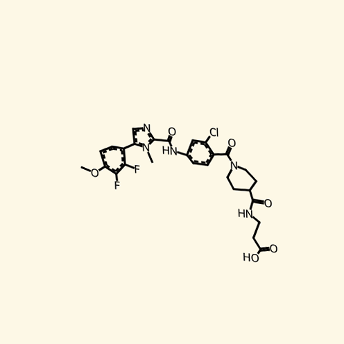 COc1ccc(-c2cnc(C(=O)Nc3ccc(C(=O)N4CCC(C(=O)NCCC(=O)O)CC4)c(Cl)c3)n2C)c(F)c1F